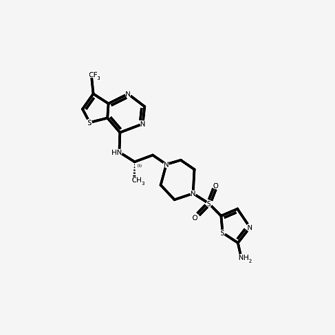 C[C@@H](CN1CCN(S(=O)(=O)c2cnc(N)s2)CC1)Nc1ncnc2c(C(F)(F)F)csc12